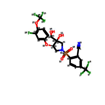 N#Cc1cc(C(F)(F)F)ccc1S(=O)(=O)N1C[C@H](Oc2ccc(OC(F)(F)F)c(F)c2)[C@](O)(CO)C1